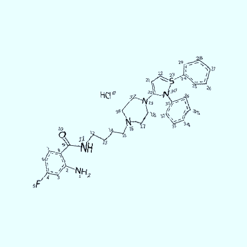 Cl.Nc1cc(F)ccc1C(=O)NCCCCN1CCN(C2=CC=S(c3ccccc3)N2c2ccccc2)CC1